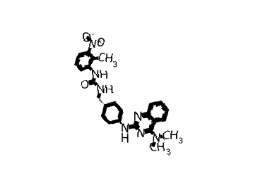 Cc1c(NC(=O)NC[C@H]2CC[C@@H](Nc3nc(N(C)C)c4ccccc4n3)CC2)cccc1[N+](=O)[O-]